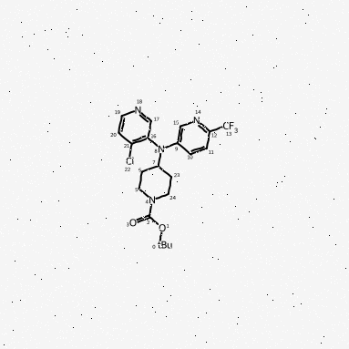 CC(C)(C)OC(=O)N1CCC(N(c2ccc(C(F)(F)F)nc2)c2cnccc2Cl)CC1